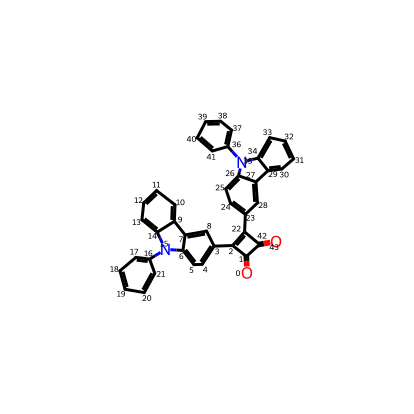 O=c1c(-c2ccc3c(c2)c2ccccc2n3-c2ccccc2)c(-c2ccc3c(c2)c2ccccc2n3-c2ccccc2)c1=O